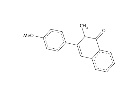 COc1ccc(C2=Cc3ccccc3C(=O)C2C)cc1